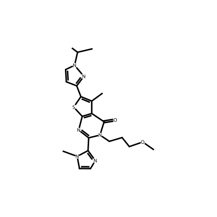 COCCCn1c(-c2nccn2C)nc2sc(-c3ccn(C(C)C)n3)c(C)c2c1=O